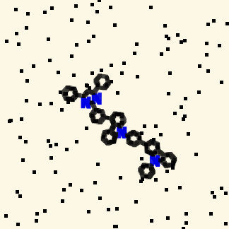 C1=CC(c2cc(-c3ccccc3)nc(-c3cccc(-c4cccc5c4c4ccccc4n5-c4ccc(-c5ccc6c7ccccc7n(-c7ccccc7)c6c5)cc4)c3)n2)=CCC1